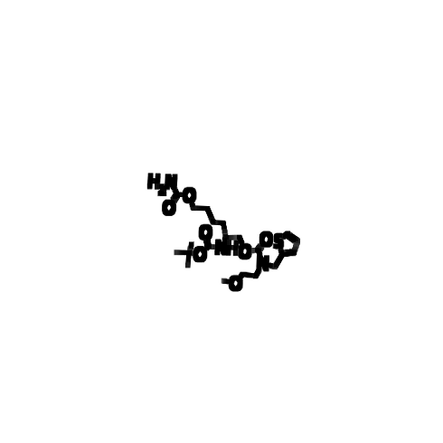 COCCN(Cc1cccs1)C(=O)OCC(CCCCOC(N)=O)NC(=O)OC(C)(C)C